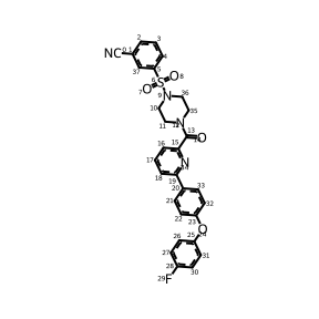 N#Cc1cccc(S(=O)(=O)N2CCN(C(=O)c3cccc(-c4ccc(Oc5ccc(F)cc5)cc4)n3)CC2)c1